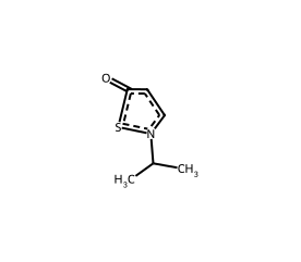 CC(C)n1ccc(=O)s1